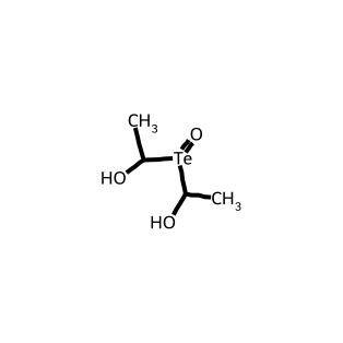 CC(O)[Te](=O)C(C)O